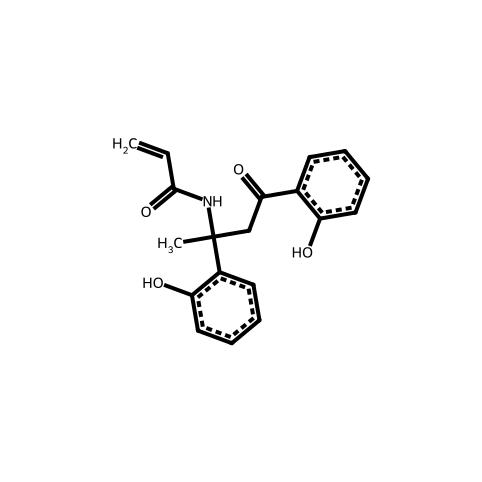 C=CC(=O)NC(C)(CC(=O)c1ccccc1O)c1ccccc1O